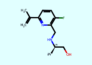 C=C(C)c1ccc(F)c(CN[C@@H](CO)C(C)C)n1